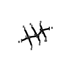 I[Si](I)(I)[Si](I)(I)[Si](I)(I)I